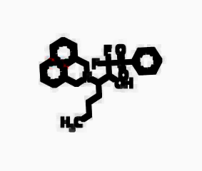 CCCCC(C(O)C(F)(F)S(=O)(=O)c1ccccc1)N(Cc1ccccc1)Cc1ccccc1